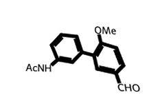 COc1ccc(C=O)cc1-c1cccc(NC(C)=O)c1